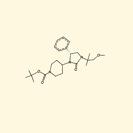 COCC(C)(C)N1C[C@@H](c2ccccc2)N(C2CCN(C(=O)OC(C)(C)C)CC2)C1=O